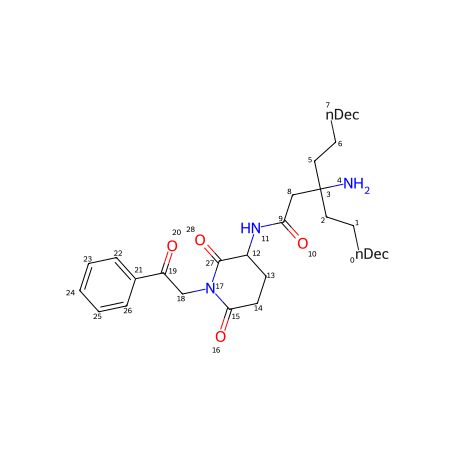 CCCCCCCCCCCCC(N)(CCCCCCCCCCCC)CC(=O)NC1CCC(=O)N(CC(=O)c2ccccc2)C1=O